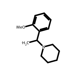 [CH2]C(c1ccccc1OC)N1CCCCC1